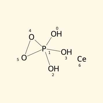 OP1(O)(O)OO1.[Ce]